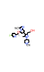 Cc1c(-c2cc(O[C@H](C)c3ccc(F)cn3)n3c(C#N)cnc3c2)c(CCO)nn1C1CCN(C#N)CC1